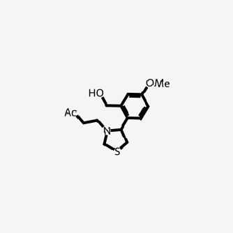 COc1ccc(C2CSCN2CCC(C)=O)c(CO)c1